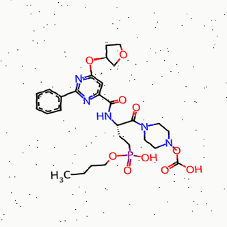 CCCCOP(=O)(O)CC[C@H](NC(=O)c1cc(O[C@H]2CCOC2)nc(-c2ccccc2)n1)C(=O)N1CCN(OC(=O)O)CC1